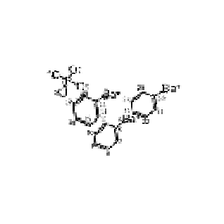 O=P([O-])([O-])[O-].[Ba+][c]1ccccc1.[Ba+][c]1ccccc1.[Ba+][c]1ccccc1